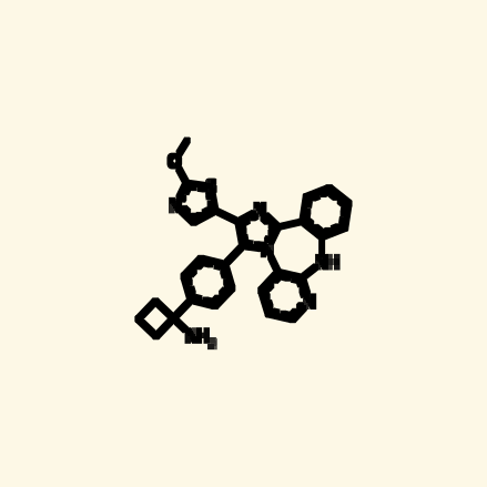 COc1ncc(-c2nc3n(c2-c2ccc(C4(N)CCC4)cc2)-c2cccnc2Nc2ccccc2-3)s1